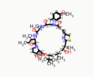 CC[C@H](C)[C@@H]1NC(=O)[C@H](C)NC(=O)[C@H](Cc2ccc(OC)cc2)NC(=O)CC[C@@H]2CSC(=N2)[C@H](C)[C@@H](O)C[C@H](C)C[C@@H](C(C)(C)C)OC(O)[C@@H]2CCCN2C1=O